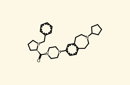 O=C([C@H]1CCCN1Cc1ccccc1)N1CCN(c2ccc3c(c2)CCN(C2CCCC2)CC3)CC1